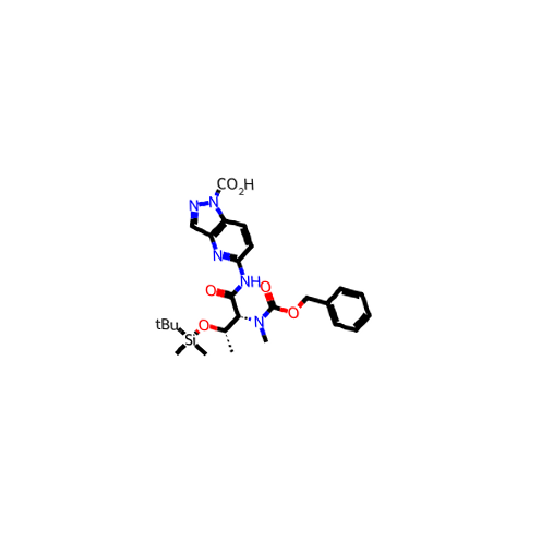 C[C@H](O[Si](C)(C)C(C)(C)C)[C@H](C(=O)Nc1ccc2c(cnn2C(=O)O)n1)N(C)C(=O)OCc1ccccc1